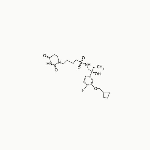 CC[C@@](O)(CNS(=O)(=O)CCCCN1CCC(=O)NC1=O)c1ccc(F)c(OCC2CCC2)c1